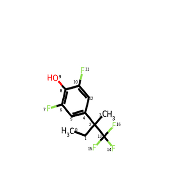 CCC(C)(c1cc(F)c(O)c(F)c1)C(F)(F)F